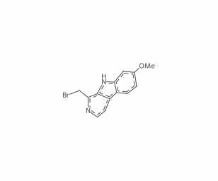 COc1ccc2c(c1)[nH]c1c(CBr)nccc12